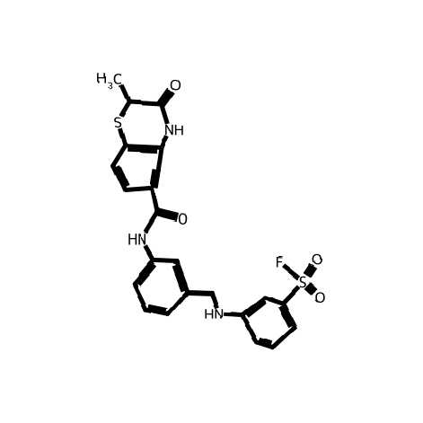 CC1Sc2ccc(C(=O)Nc3cccc(CNc4cccc(S(=O)(=O)F)c4)c3)cc2NC1=O